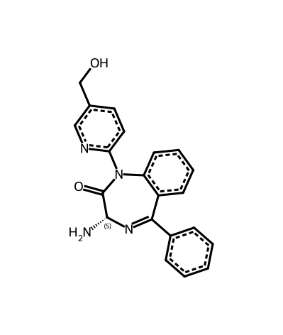 N[C@H]1N=C(c2ccccc2)c2ccccc2N(c2ccc(CO)cn2)C1=O